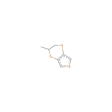 CC1CSc2cscc2S1